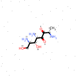 C[C@H](N)C(=O)C(=O)[C@@H](N)[C@H](O)[C@H](N)CO